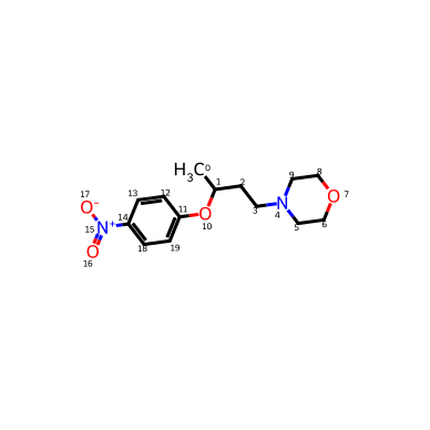 CC(CCN1CCOCC1)Oc1ccc([N+](=O)[O-])cc1